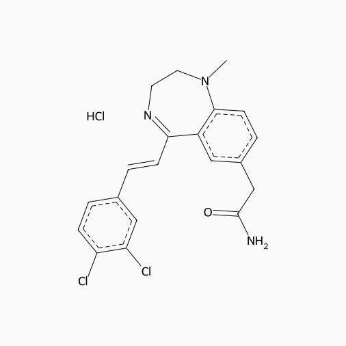 CN1CCN=C(C=Cc2ccc(Cl)c(Cl)c2)c2cc(CC(N)=O)ccc21.Cl